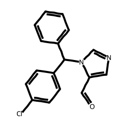 O=Cc1cncn1C(c1ccccc1)c1ccc(Cl)cc1